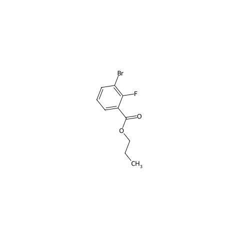 CCCOC(=O)c1cccc(Br)c1F